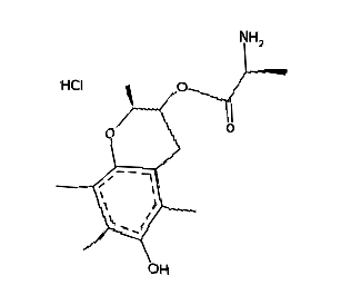 Cc1c(C)c2c(c(C)c1O)CC(OC(=O)[C@H](C)N)[C@H](C)O2.Cl